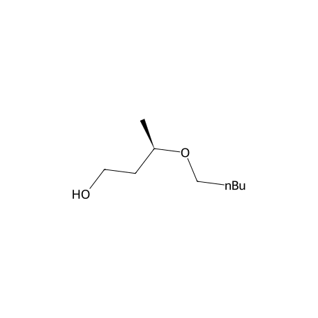 CCCCCO[C@H](C)CCO